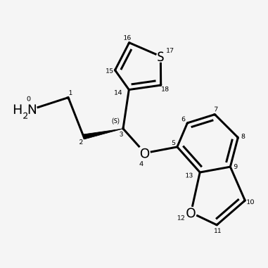 NCC[C@H](Oc1cccc2ccoc12)c1ccsc1